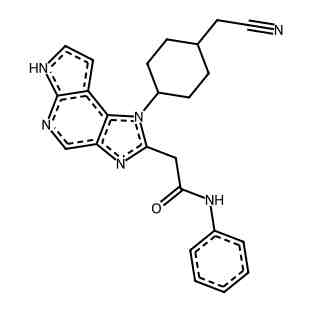 N#CCC1CCC(n2c(CC(=O)Nc3ccccc3)nc3cnc4[nH]ccc4c32)CC1